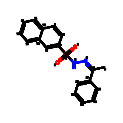 CC(=NNS(=O)(=O)c1ccc2ccccc2c1)c1ccccc1